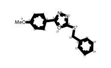 COc1ccc(-c2nnc(SCc3ccccc3)o2)cc1